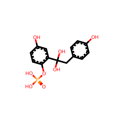 O=P(O)(O)Oc1ccc(O)cc1C(O)(O)Cc1ccc(O)cc1